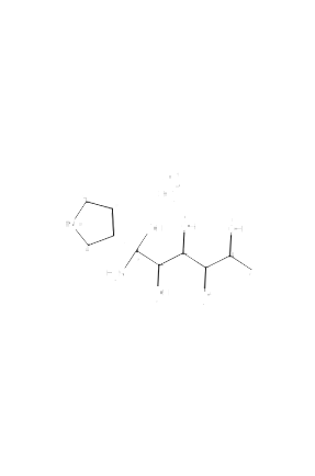 CC(O)C(O)C(O)C(O)C(N)(O)[C@H]1CCNC1.Cl.Cl